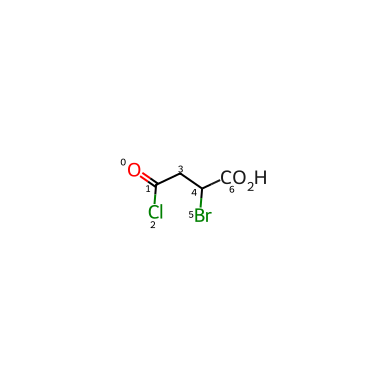 O=C(Cl)CC(Br)C(=O)O